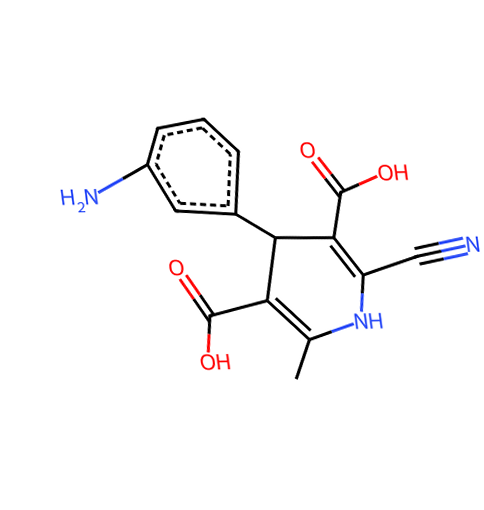 CC1=C(C(=O)O)C(c2cccc(N)c2)C(C(=O)O)=C(C#N)N1